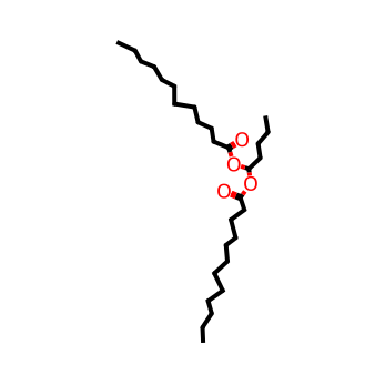 CCCCCCCCCCCC(=O)OC(CCCC)OC(=O)CCCCCCCCCCC